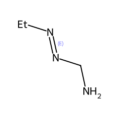 CC/N=N/CN